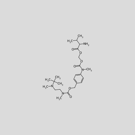 CC(C)C(N)C(=O)OCOC(=O)N(C)c1ccc(COC(=O)N(C)CCN(C)C(C)(C)C)cc1